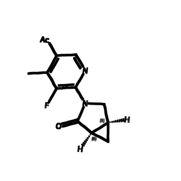 CC(=O)c1cnc(N2C[C@H]3C[C@H]3C2=O)c(F)c1C